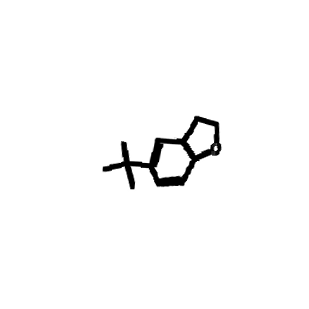 CC(C)(C)C1=CC2CCOC2C=C1